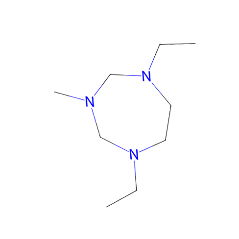 CCN1CCN(CC)CN(C)C1